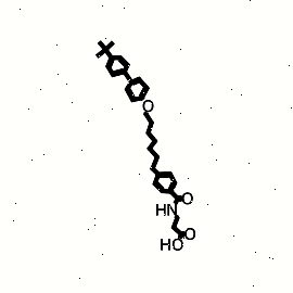 CC(C)(C)c1ccc(-c2ccc(OCCCCCCCc3ccc(C(=O)NCCC(=O)O)cc3)cc2)cc1